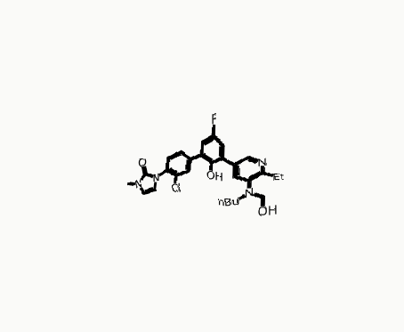 CCCCN(CO)c1cc(-c2cc(F)cc(-c3ccc(-n4ccn(C)c4=O)c(Cl)c3)c2O)cnc1CC